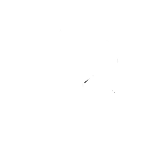 Br.CCN1C[C@@H]2CCc3c(ccc(O)c3O)[C@H]2C1